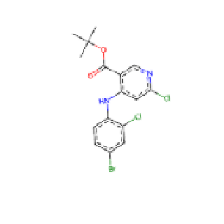 CC(C)(C)OC(=O)c1cnc(Cl)cc1Nc1ccc(Br)cc1Cl